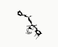 CC(C)(C)OC(=O)N[C@@H](CC[S+]([O-])CCc1ccccc1)C(=O)OCc1ccccc1